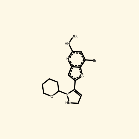 CC(C)(C)Nc1cc(Br)c2sc(C3=CCNN3C3CCCCO3)cc2n1